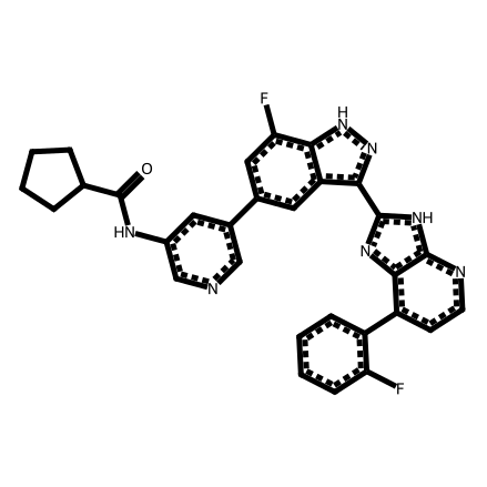 O=C(Nc1cncc(-c2cc(F)c3[nH]nc(-c4nc5c(-c6ccccc6F)ccnc5[nH]4)c3c2)c1)C1CCCC1